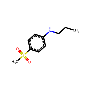 CCCNc1ccc(S(C)(=O)=O)cc1